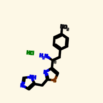 Cl.N[C@@H](Cc1ccc([N+](=O)[O-])cc1)c1csc(Cc2cnc[nH]2)n1